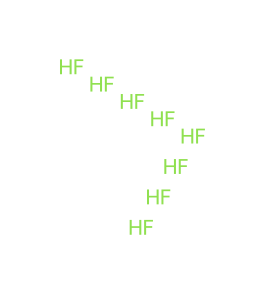 F.F.F.F.F.F.F.F